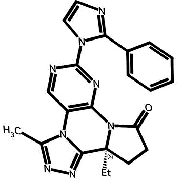 CC[C@@]12CCC(=O)N1c1nc(-n3ccnc3-c3ccccc3)ncc1-n1c(C)nnc12